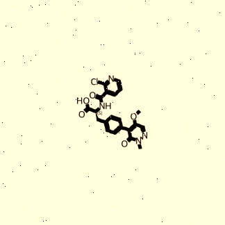 COc1cnn(C)c(=O)c1-c1ccc(C[C@H](NC(=O)c2cccnc2Cl)C(=O)O)cc1